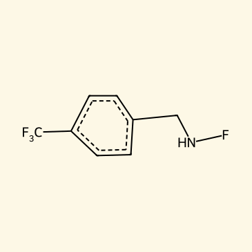 FNCc1ccc(C(F)(F)F)cc1